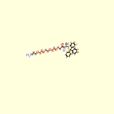 CC(=O)[C@H](CSC(c1ccccc1)(c1ccccc1)c1ccccc1)NC(=O)CCOCCOCCOCCOCCN